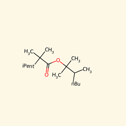 CCCCC(C)C(C)(C)OC(=O)C(C)(C)C(C)CCC